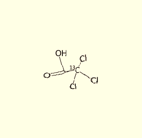 O=C(O)[13C](Cl)(Cl)Cl